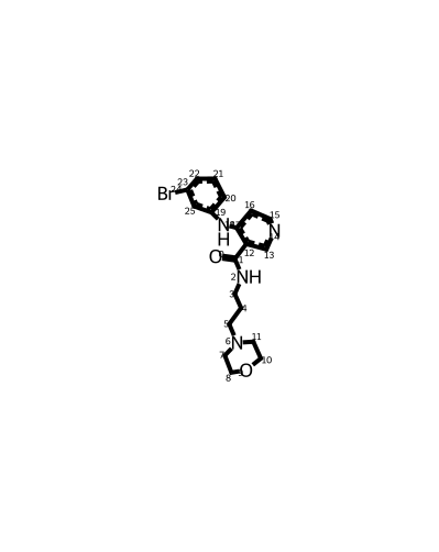 O=C(NCCCN1CCOCC1)c1cnccc1Nc1cccc(Br)c1